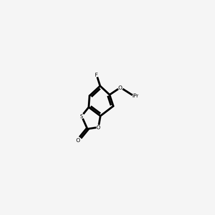 CC(C)Oc1cc2oc(=O)sc2cc1F